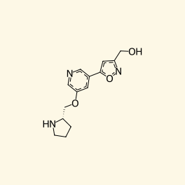 OCc1cc(-c2cncc(OC[C@@H]3CCCN3)c2)on1